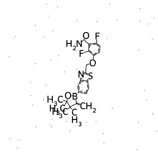 C=C1B(c2ccc3sc(COc4ccc(F)c(C(N)=O)c4F)nc3c2)OC(C)(C)C1(C)C